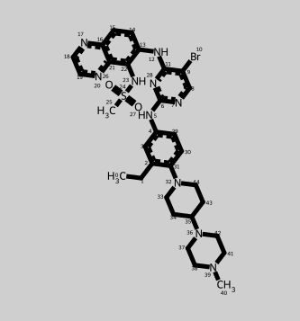 CCc1cc(Nc2ncc(Br)c(Nc3ccc4nccnc4c3NS(C)(=O)=O)n2)ccc1N1CCC(N2CCN(C)CC2)CC1